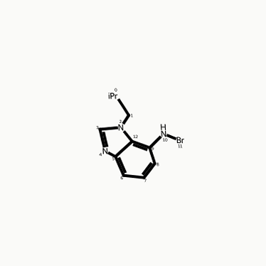 CC(C)Cn1cnc2cccc(NBr)c21